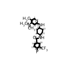 Cc1cnc(NC2CCC(NC(=O)c3ccc(F)c(C(F)(F)F)c3)CC2)cc1N(C)C